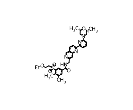 CCOCCS(=O)(=O)c1cc(C(=O)NCc2cc3nc(-c4cccc(N5C[C@@H](C)O[C@@H](C)C5)n4)ccc3cn2)cc(C)c1C